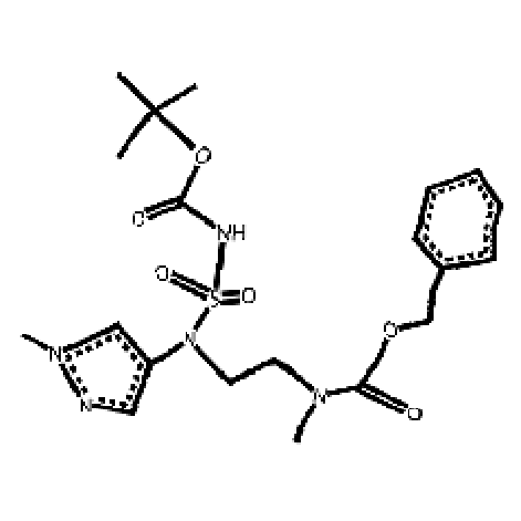 CN(CCN(c1cnn(C)c1)S(=O)(=O)NC(=O)OC(C)(C)C)C(=O)OCc1ccccc1